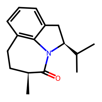 CC(C)[C@@H]1Cc2cccc3c2N1C(=O)[C@@H](C)CC3